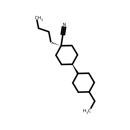 CCCC[C@]1(C#N)CC[C@@H](C2CCC(CC)CC2)CC1